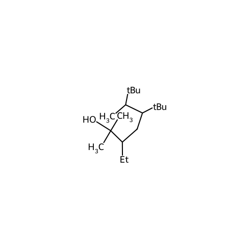 CCC(CC(C(C)C(C)(C)C)C(C)(C)C)C(C)(C)O